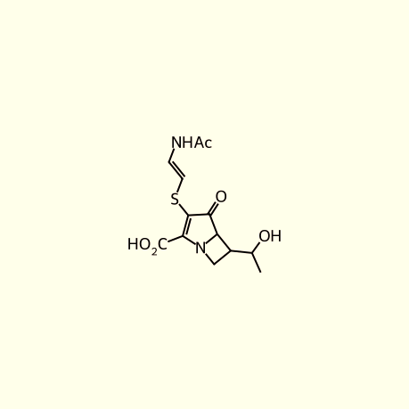 CC(=O)NC=CSC1=C(C(=O)O)N2CC(C(C)O)C2C1=O